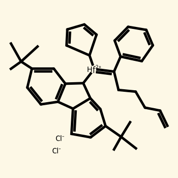 C=CCCC[C](c1ccccc1)=[Hf+2]([CH]1C=CC=C1)[CH]1c2cc(C(C)(C)C)ccc2-c2ccc(C(C)(C)C)cc21.[Cl-].[Cl-]